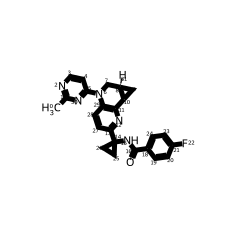 Cc1nccc(N2C[C@H]3CC3c3nc(C4(NC(=O)c5ccc(F)cc5)CC4)ccc32)n1